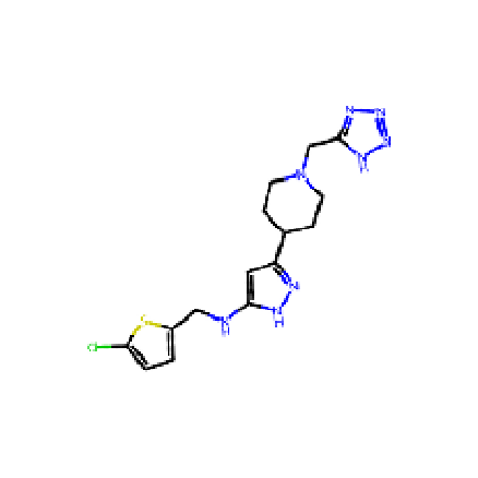 Clc1ccc(CNc2cc(C3CCN(Cc4nnn[nH]4)CC3)n[nH]2)s1